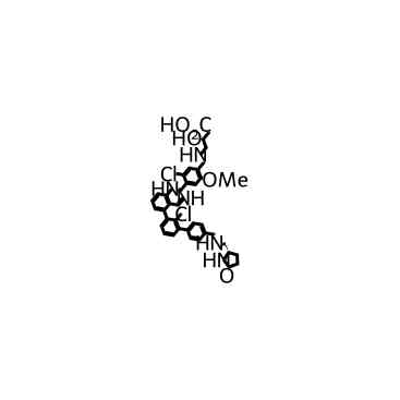 COc1cc(CNc2cccc(-c3cccc(-c4ccc(CNC[C@@H]5CCC(=O)N5)cc4)c3Cl)c2C=N)c(Cl)cc1CNC[C@H](O)CC(=O)O